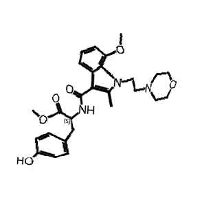 COC(=O)[C@H](Cc1ccc(O)cc1)NC(=O)c1c(C)n(CCN2CCOCC2)c2c(OC)cccc12